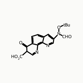 CC(C)(C)ON(C=O)c1cnc2c3c(ccc2c1)C(=O)C(C(=O)O)C=N3